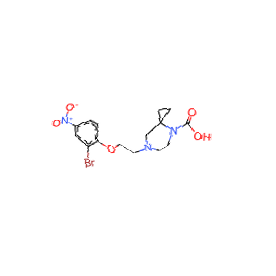 O=C(O)N1CCN(CCOc2ccc([N+](=O)[O-])cc2Br)CC12CC2